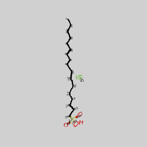 CCCCCCCCCCCCCCCCCS(=O)(=O)O.F